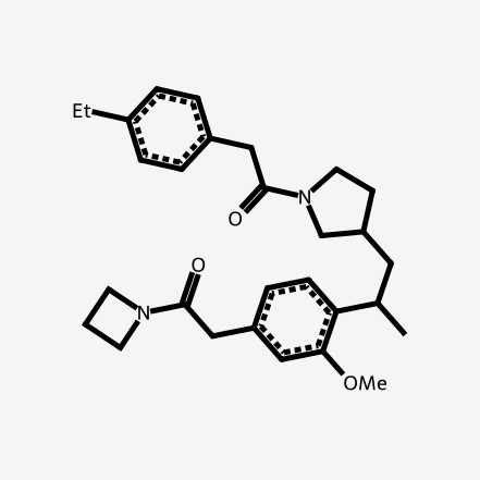 CCc1ccc(CC(=O)N2CCC(CC(C)c3ccc(CC(=O)N4CCC4)cc3OC)C2)cc1